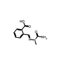 CN(/N=C/c1ccccc1C(=O)O)C(N)=O